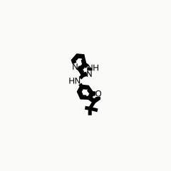 CC(C)(C)c1coc2cc(Nc3n[nH]c4cccnc34)ccc12